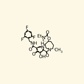 CCN1C[C@@]2(CC[C@H](C)N3C[C@H]2n2cc(C(=O)NCc4c(F)cc(F)cc4F)c(=O)c(O)c2C3=O)OC1=O